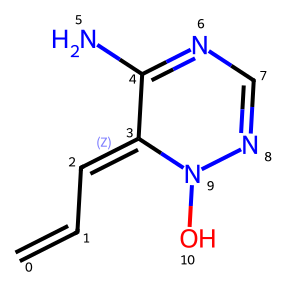 C=C/C=C1/C(N)=NC=NN1O